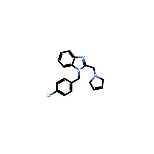 Clc1ccc(Cn2c(CN3CC=CC3)nc3ccccc32)cc1